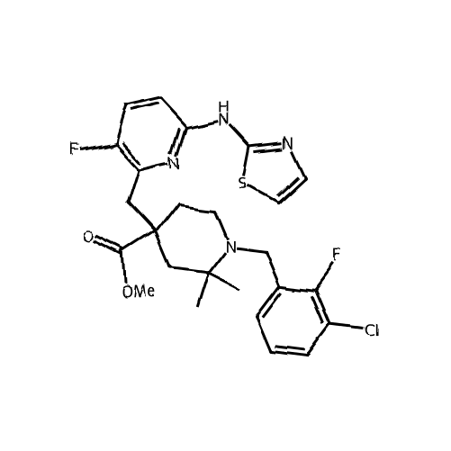 COC(=O)C1(Cc2nc(Nc3nccs3)ccc2F)CCN(Cc2cccc(Cl)c2F)C(C)(C)C1